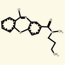 CCCCN(C)C(=O)c1ccc2c(c1)N=C(Cl)c1ccccc1S2